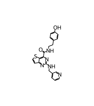 O=C(NCCc1ccc(O)cc1)c1nc(NCc2cccnc2)nc2ccsc12